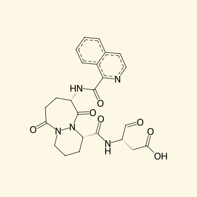 O=C[C@H](CC(=O)O)NC(=O)[C@@H]1CCCN2C(=O)CC[C@H](NC(=O)c3nccc4ccccc34)C(=O)N12